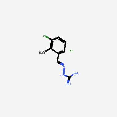 CSc1c(Cl)cccc1C=NNC(=N)N.Cl